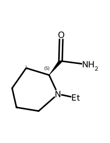 CCN1CCC[CH][C@H]1C(N)=O